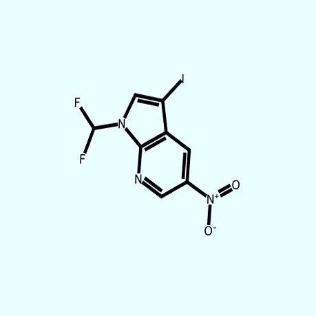 O=[N+]([O-])c1cnc2c(c1)c(I)cn2C(F)F